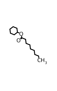 CCCCCCCCC(=O)OC1CCCCC1